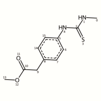 CNC(=S)Nc1ccc(CC(=O)OC)cc1